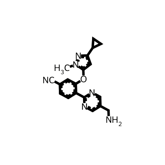 Cn1nc(C2CC2)cc1Oc1cc(C#N)ccc1-c1ncc(CN)cn1